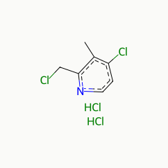 Cc1c(Cl)ccnc1CCl.Cl.Cl